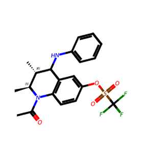 CC(=O)N1c2ccc(OS(=O)(=O)C(F)(F)F)cc2C(Nc2ccccc2)[C@@H](C)[C@@H]1C